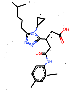 Cc1ccc(NC(=O)CC(CC(=O)O)c2nnc(CCCC(C)C)n2C2CC2)c(C)c1